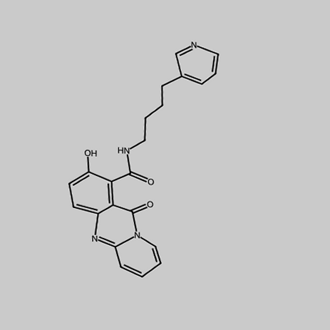 O=C(NCCCCc1cccnc1)c1c(O)ccc2nc3ccccn3c(=O)c12